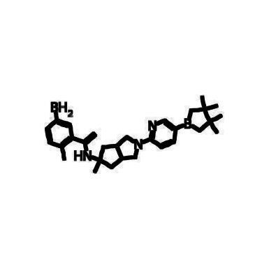 Bc1ccc(C)c(C(=C)NC2(C)CC3CN(c4ccc(B5CC(C)(C)C(C)(C)C5)cn4)CC3C2)c1